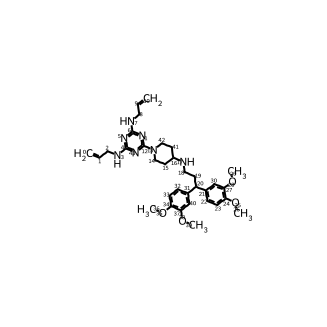 C=CCNc1nc(NCC=C)nc(N2CCC(NCCC(c3ccc(OC)c(OC)c3)c3ccc(OC)c(OC)c3)CC2)n1